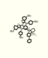 CC(C)(C)c1ccc(N2c3cc(N4c5ccc(-c6ccccc6)cc5C5(C)CCCCC45C)cc4c3B(c3oc5ccc(C(C)(C)C)cc5c32)c2sc3ccc(C(C)(C)C)cc3c2N4c2ccc(C(C)(C)C)cc2)cc1